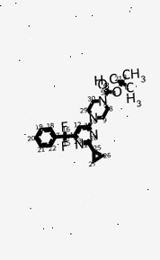 CC(C)(C)OC(=O)N1CCN(c2cc(C(F)(F)c3ccccc3)nc(C3CC3)n2)CC1